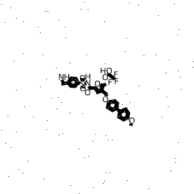 COc1ccc(-c2ccc(OCc3cc(C(=O)NS(=O)(=O)c4ccc(CN)cc4)oc3C)cc2)cc1.O=C(O)C(F)(F)F